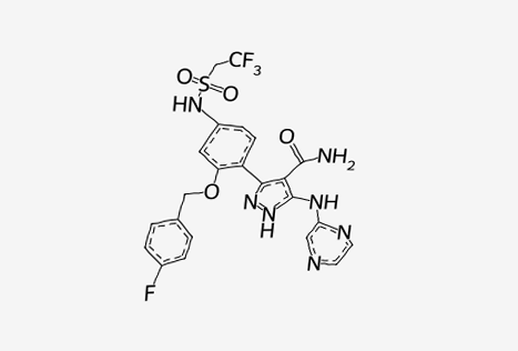 NC(=O)c1c(-c2ccc(NS(=O)(=O)CC(F)(F)F)cc2OCc2ccc(F)cc2)n[nH]c1Nc1cnccn1